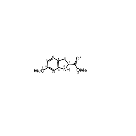 COC(=O)[C@@H]1Cc2ccc(OC)cc2N1